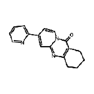 O=c1c2c(nc3cc(-c4ccccn4)ccn13)CCCC2